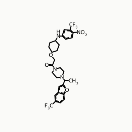 CC(c1cc2cc(C(F)(F)F)ccc2o1)N1CCN(C(=O)COC2CCC(Nc3ccc([N+](=O)[O-])c(C(F)(F)F)c3)CC2)CC1